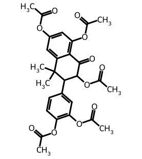 CC(=O)Oc1cc(OC(C)=O)c2c(c1)C(C)(C)C(c1ccc(OC(C)=O)c(OC(C)=O)c1)C(OC(C)=O)C2=O